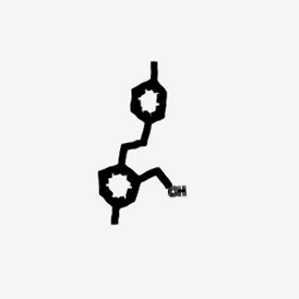 Cc1ccc(CCc2ccc(C)cc2CO)cc1